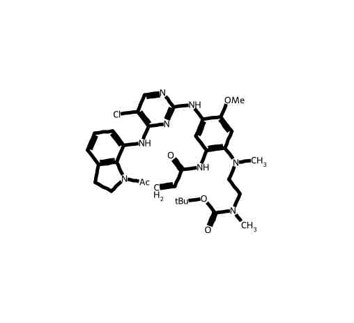 C=CC(=O)Nc1cc(Nc2ncc(Cl)c(Nc3cccc4c3N(C(C)=O)CC4)n2)c(OC)cc1N(C)CCN(C)C(=O)OC(C)(C)C